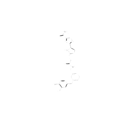 NC(=O)c1nc(C2=CSC(SCC(=O)NC[C@H]3CN(Cc4ccc(Cl)c(Cl)c4)CCO3)N2)no1